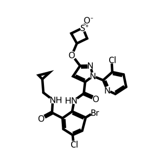 O=C(NCC1CC1)c1cc(Cl)cc(Br)c1NC(=O)c1cc(OC2C[S+]([O-])C2)nn1-c1ncccc1Cl